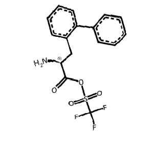 N[C@@H](Cc1ccccc1-c1ccccc1)C(=O)OS(=O)(=O)C(F)(F)F